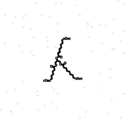 CCCCCCCCCCCCCCC/C=C/C(=O)OC(COC(=O)CCCCCCCCCCCCCCC)COC(=O)CCCCCCCCCCCCCCCCC